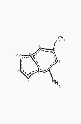 Cc1cc(N)c2ccsc2c1